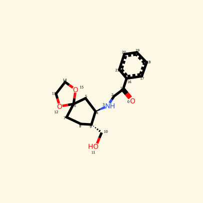 O=C(CN[C@@H]1CC2(CC[C@H]1CO)OCCO2)c1ccccc1